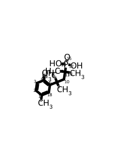 Cc1ccc(O)c(C(C)(C)CC(C)(C)P(=O)(O)O)c1